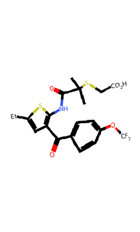 CCc1cc(C(=O)c2ccc(OC(F)(F)F)cc2)c(NC(=O)C(C)(C)SCC(=O)O)s1